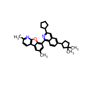 Cc1cc(-c2nc(C3CCCC3)cc3cc(C4CCC(C)(C)C4)ccc23)c2oc3nc(C)ccc3c2c1